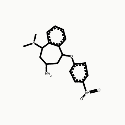 CN(C)C1CC(N)CC(Oc2ccc([N+](=O)[O-])cc2)c2ccccc21